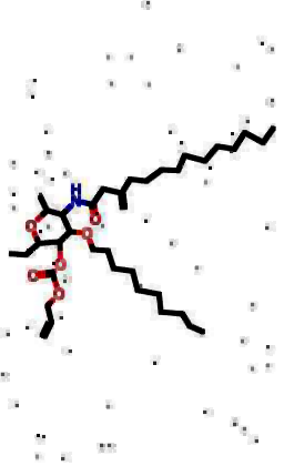 C=CCOC(=O)OC1C(CC)OC(C)C(NC(=O)CC(=C)CCCCCCCCCCC)C1OCCCCCCCCCC